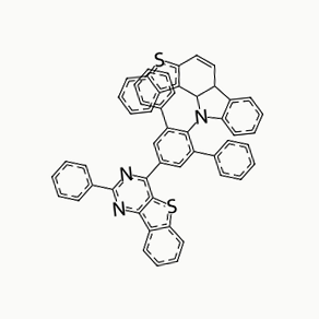 C1=CC2c3ccccc3N(c3c(-c4ccccc4)cc(-c4nc(-c5ccccc5)nc5c4sc4ccccc45)cc3-c3ccccc3)C2c2c1sc1ccccc21